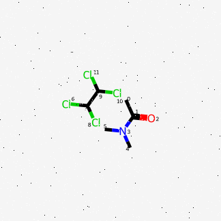 CC(=O)N(C)C.ClC(Cl)C(Cl)Cl